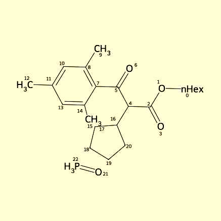 CCCCCCOC(=O)C(C(=O)c1c(C)cc(C)cc1C)C1CCCC1.O=[PH3]